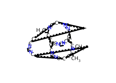 CCC1/C=N\Cc2cc3cc(c2)CN2CCN(Cc4cc5cc(c4)CN4CCN(Cc6cc(cc(c6)CN6CCN(Cc7cc(cc(c7)CN7CCN(C3)C7)CC(CC)CN(CC)C5)C6)C1)C4)C2